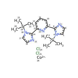 C[Si](C)(C)n1ccnc1-c1cccc(-c2nccn2[Si](C)(C)C)n1.[Cl-].[Cl-].[Co+2]